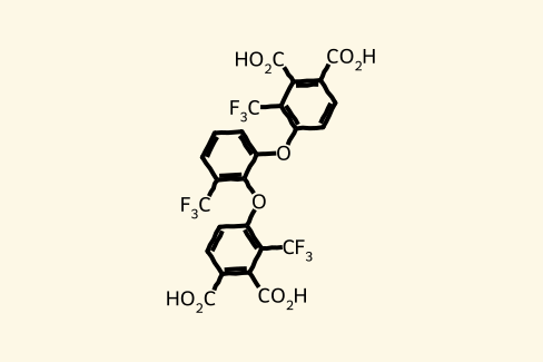 O=C(O)c1ccc(Oc2cccc(C(F)(F)F)c2Oc2ccc(C(=O)O)c(C(=O)O)c2C(F)(F)F)c(C(F)(F)F)c1C(=O)O